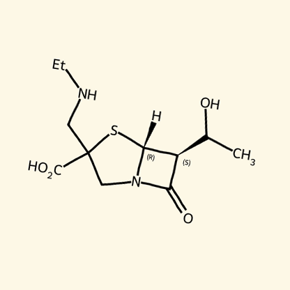 CCNCC1(C(=O)O)CN2C(=O)[C@H](C(C)O)[C@H]2S1